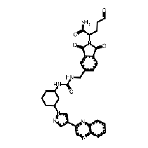 NC(=O)C(CCC=O)N1C(=O)c2ccc(CNC(=O)NC3CCCC(n4cc(-c5cnc6ccccc6n5)cn4)C3)cc2C1=O